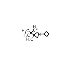 CC(C)(C)C1(C)CN(C2CCC2)C1